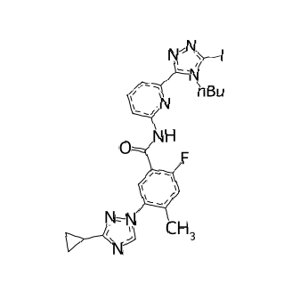 CCCCn1c(I)nnc1-c1cccc(NC(=O)c2cc(-n3cnc(C4CC4)n3)c(C)cc2F)n1